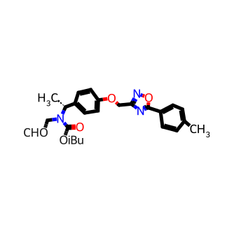 Cc1ccc(-c2nc(COc3ccc([C@@H](C)N(CC=O)C(=O)OCC(C)C)cc3)no2)cc1